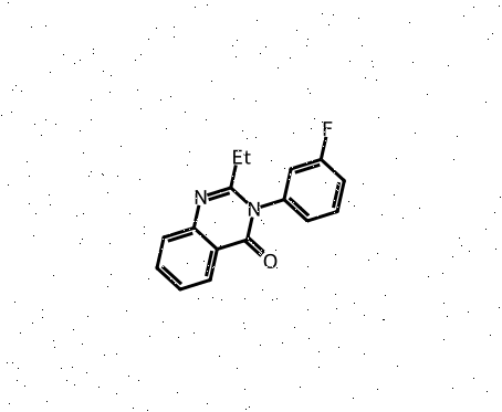 CCc1nc2ccccc2c(=O)n1-c1cccc(F)c1